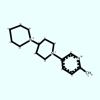 Cc1ccc(N2CCC(N3CCCCC3)CC2)cn1